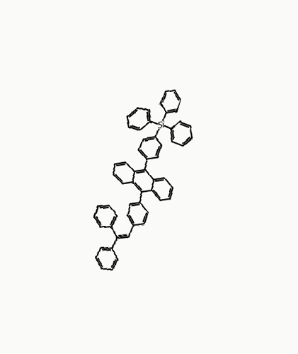 C(=C(c1ccccc1)c1ccccc1)c1ccc(-c2c3ccccc3c(-c3ccc([Si](c4ccccc4)(c4ccccc4)c4ccccc4)cc3)c3ccccc23)cc1